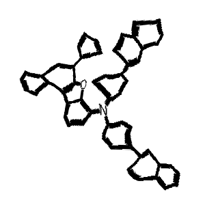 c1ccc(-c2cc3ccccc3c3c2oc2c(N(c4ccc(-c5ccc6ccccc6c5)cc4)c4ccc(-c5ccc6ccccc6c5)cc4)cccc23)cc1